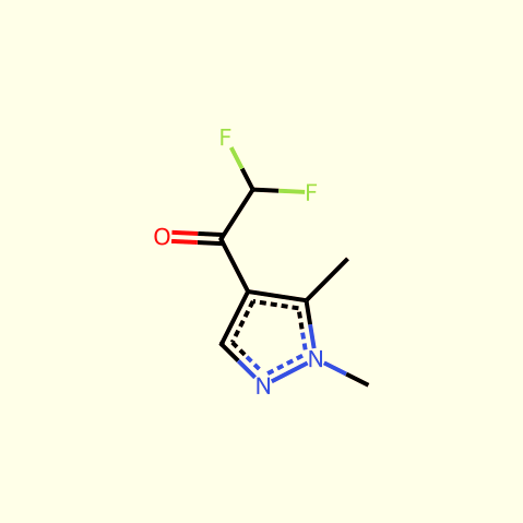 Cc1c(C(=O)C(F)F)cnn1C